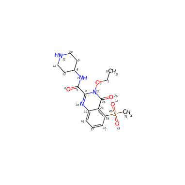 CCOn1c(C(=O)NC2CCNCC2)nc2cccc(S(C)(=O)=O)c2c1=O